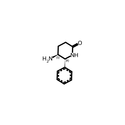 N[C@H]1CCC(=O)N[C@@H]1c1ccccc1